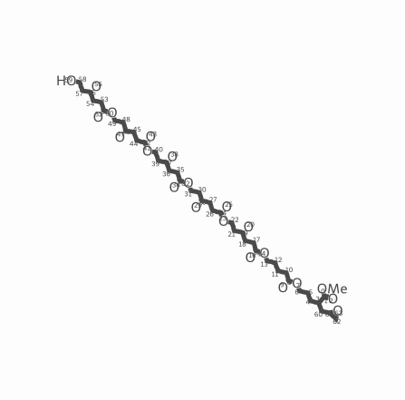 COC(=O)C(CCCOC(=O)CCCCOC(=O)CCC(=O)CCOC(=O)CCC(=O)CCOC(=O)CCC(=O)CCOC(=O)CCC(=O)CCOC(=O)CCC(=O)CCO)CC1CO1